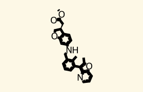 COC(=O)C[C@@H]1COc2cc(NCc3cccc(-c4c(C)oc5cccnc45)c3C)ccc21